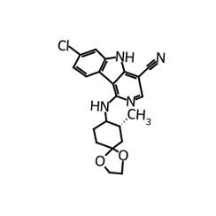 C[C@@H]1CC2(CCC1Nc1ncc(C#N)c3[nH]c4cc(Cl)ccc4c13)OCCO2